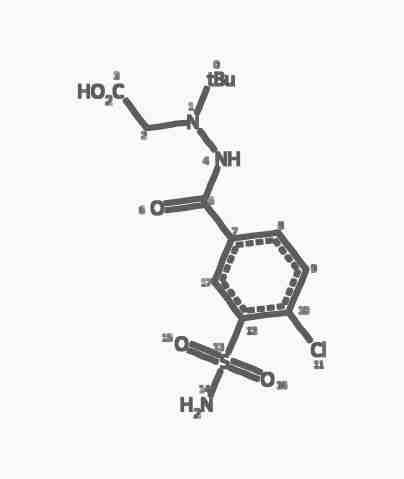 CC(C)(C)N(CC(=O)O)NC(=O)c1ccc(Cl)c(S(N)(=O)=O)c1